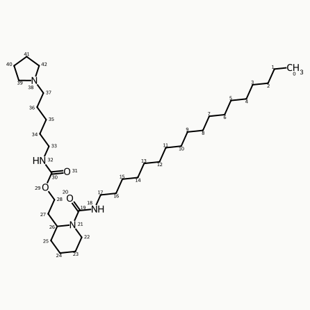 CCCCCCCCCCCCCCCCCCNC(=O)N1CCCCC1CCOC(=O)NCCCCCN1CCCC1